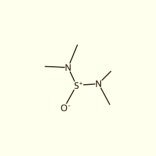 CN(C)[S+]([O-])N(C)C